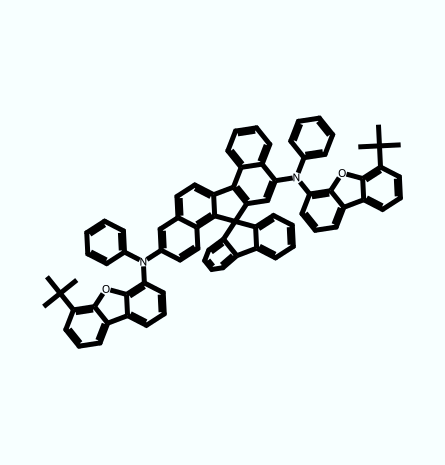 CC(C)(C)c1cccc2c1oc1c(N(c3ccccc3)c3ccc4c5c(ccc4c3)-c3c(cc(N(c4ccccc4)c4cccc6c4oc4c(C(C)(C)C)cccc46)c4ccccc34)C53c4ccccc4-c4ccccc43)cccc12